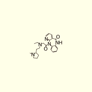 CCN(CCC1CCCN1C)CC(=O)N1c2ccccc2NC(=O)c2cccnc21